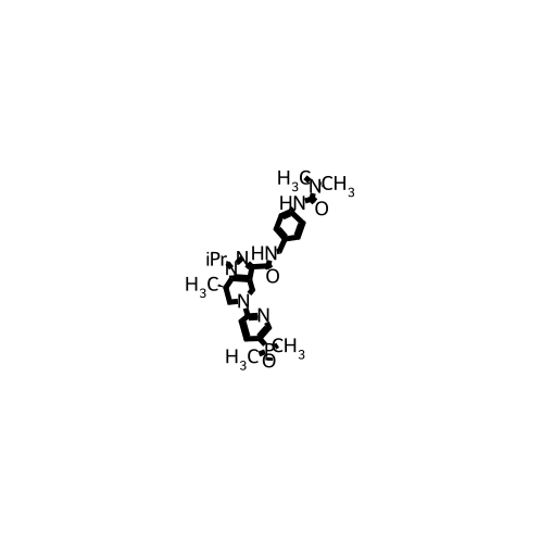 CC(C)n1nc(C(=O)NCc2ccc(NC(=O)N(C)C)cc2)c2c1[C@@H](C)CN(c1ccc(P(C)(C)=O)cn1)C2